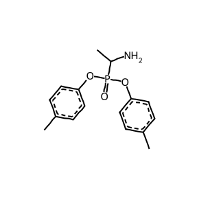 Cc1ccc(OP(=O)(Oc2ccc(C)cc2)C(C)N)cc1